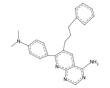 CN(C)c1ccc(-c2nc3ncnc(N)c3cc2CCCc2ccccc2)cc1